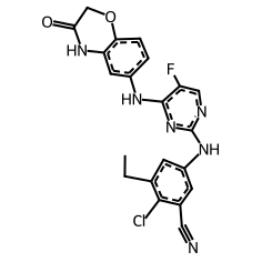 CCc1cc(Nc2ncc(F)c(Nc3ccc4c(c3)NC(=O)CO4)n2)cc(C#N)c1Cl